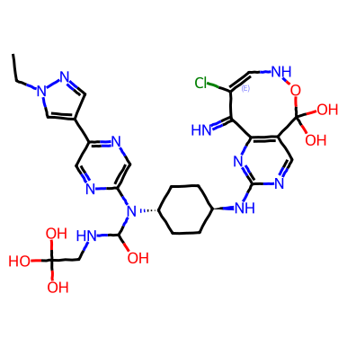 CCn1cc(-c2cnc(N(C(O)NCC(O)(O)O)[C@H]3CC[C@H](Nc4ncc5c(n4)C(=N)/C(Cl)=C\NOC5(O)O)CC3)cn2)cn1